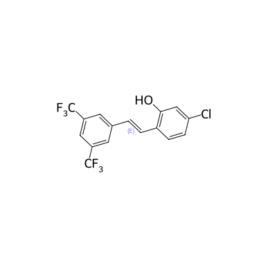 Oc1cc(Cl)ccc1/C=C/c1cc(C(F)(F)F)cc(C(F)(F)F)c1